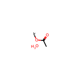 CC(=O)[O][Ir].O